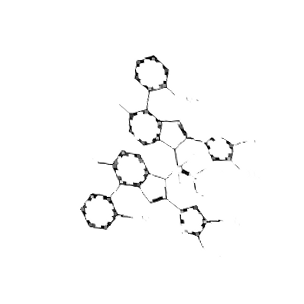 CCc1ccc2c(c1-c1ccccc1OC)C=C(c1cc(C)c(C)o1)[CH]2[Zr]([Cl])([Cl])([CH]1C(c2cc(C)c(C)o2)=Cc2c1ccc(CC)c2-c1ccccc1OC)=[Si](C)C